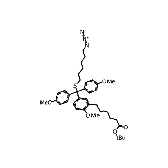 COc1ccc(C(SCCCCCCN=[N+]=[N-])(c2ccc(OC)cc2)c2ccc(OC)c(CCCCCC(=O)OC(C)(C)C)c2)cc1